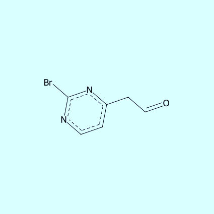 O=CCc1ccnc(Br)n1